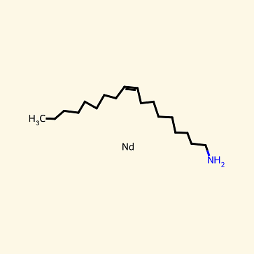 CCCCCCCC/C=C\CCCCCCCCN.[Nd]